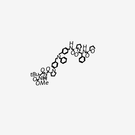 COC(=O)N[C@H](C(=O)NC(=O)[C@@H]1CCCN1c1ccc(CN(Cc2ccc(NC(=O)[C@@H]3CCCN3C(=O)[C@H](NC(=O)[C@H]3CCCO3)c3ccccc3)cc2)c2ccccc2)cc1)C(C)(C)C